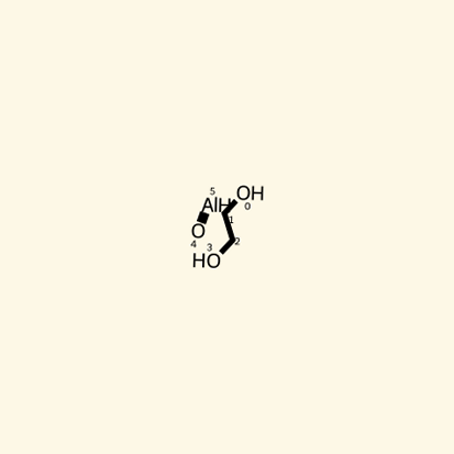 OCCO.[O]=[AlH]